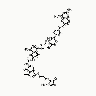 CC(C)[C@H](NC(=O)CCCCCN1C(=O)C=CC1O)C(=O)N[C@@H](C)C(=O)Nc1ccc(C(=O)NCCC[C@H](NC(=O)c2ccc(CCc3cnc4nc(N)nc(N)c4n3)cc2)C(=O)O)c(C(=O)O)c1